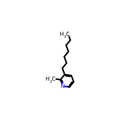 CCCCCCCc1cccnc1C